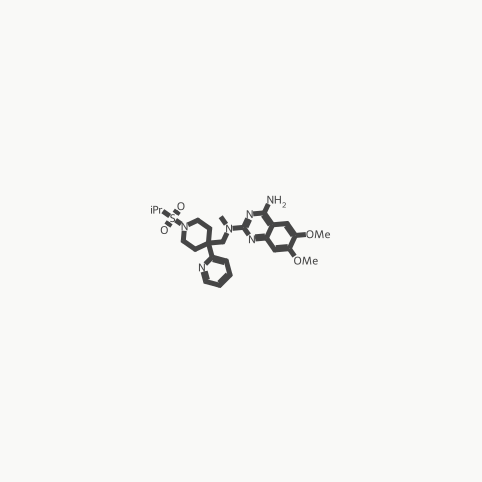 COc1cc2nc(N(C)CC3(c4ccccn4)CCN(S(=O)(=O)C(C)C)CC3)nc(N)c2cc1OC